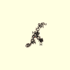 CC(C)(C)OC(=O)NCC1CCC(C(=O)N[C@@H](Cc2ccc(-c3ccc(NCCN4CCOCC4)nc3)cc2)C(=O)Nc2ccc(-c3nn[nH]n3)cc2)CC1